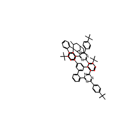 CC1CC2CC(C)C3(c4ccccc4-c4ccc(-c5cc(-c6ccccc6-c6nc(-c7ccc(C(C)(C)C)cc7)nc(-c7ccc(C(C)(C)C)cc7)n6)cc(-c6ccccc6-c6nc(-c7ccc(C(C)(C)C)cc7)nc(-c7ccc(C(C)(C)C)cc7)n6)c5)cc43)C(C1)C2